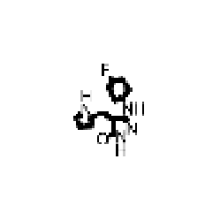 O=C1NN=C(Nc2ccc(F)cc2)C1=Cc1ccc[nH]1